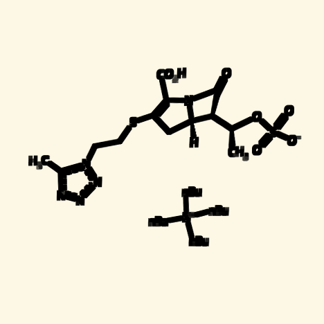 CCCC[N+](CCCC)(CCCC)CCCC.Cc1nnnn1CCSC1=C(C(=O)O)N2C(=O)[C@@H]([C@H](C)OS(=O)(=O)[O-])[C@H]2C1